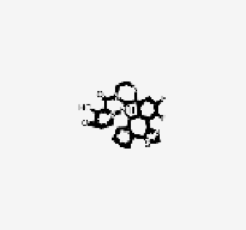 O=C1c2c(O)c(=O)ccn2N([C@@H]2c3ccccc3-c3scnc3-c3c2ccc(F)c3F)[C@@H]2CSCCN12